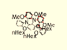 CCCCCCOc1ccccc1N(c1ccccc1OC)c1cccc(N(c2ccccc2OC)c2ccccc2OCCCCCC)c1N(c1ccccc1OC)c1ccccc1OCCCCCC